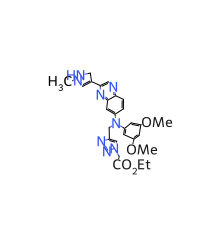 CCOC(=O)Cn1cc(CN(c2cc(OC)cc(OC)c2)c2ccc3ncc(C4=CN(C)NC4)nc3c2)nn1